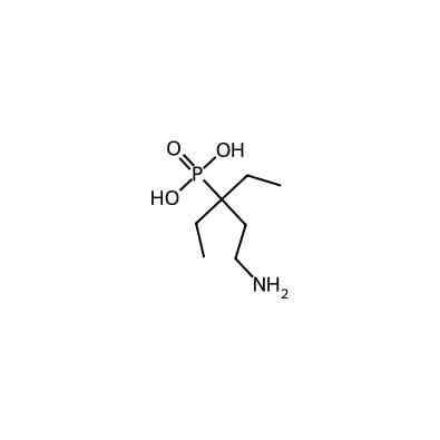 CCC(CC)(CCN)P(=O)(O)O